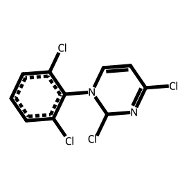 ClC1=NC(Cl)N(c2c(Cl)cccc2Cl)C=C1